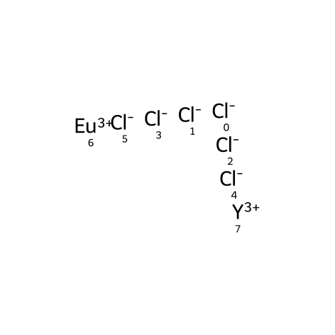 [Cl-].[Cl-].[Cl-].[Cl-].[Cl-].[Cl-].[Eu+3].[Y+3]